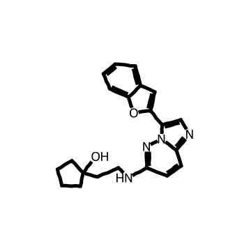 OC1(CCNc2ccc3ncc(-c4cc5ccccc5o4)n3n2)CCCC1